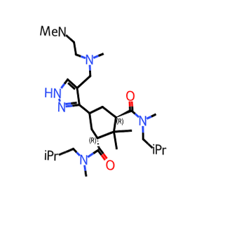 CNCCN(C)Cc1c[nH]nc1C1C[C@@H](C(=O)N(C)CC(C)C)C(C)(C)[C@H](C(=O)N(C)CC(C)C)C1